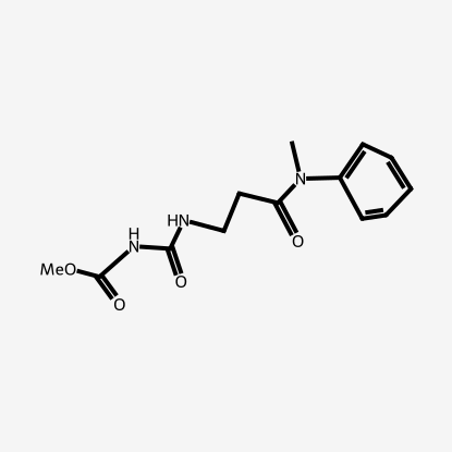 COC(=O)NC(=O)NCCC(=O)N(C)c1ccccc1